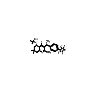 CC(C)c1nc2c(c(I)c1[C@H](O)c1ccc(S(F)(F)(F)(F)F)cc1)[C@@H](OC(C)(C)C(C)(C)C)CC(C)(C)C2